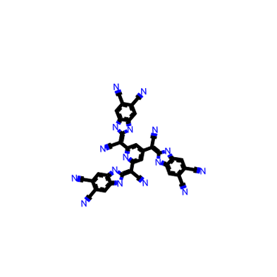 N#CC(=C1N=c2cc(C#N)c(C#N)cc2=N1)c1cc(C(C#N)=C2N=c3cc(C#N)c(C#N)cc3=N2)nc(C(C#N)=C2N=c3cc(C#N)c(C#N)cc3=N2)c1